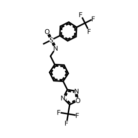 CS(=O)(=NCc1ccc(-c2noc(C(F)(F)F)n2)cc1)c1ccc(C(F)(F)F)cc1